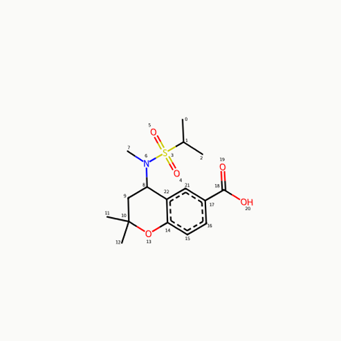 CC(C)S(=O)(=O)N(C)C1CC(C)(C)Oc2ccc(C(=O)O)cc21